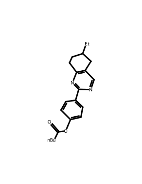 CCCCC(=O)Oc1ccc(-c2ncc3c(n2)CCC(CC)C3)cc1